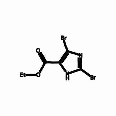 CCOC(=O)c1[nH]c(Br)nc1Br